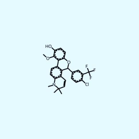 COc1c(O)ccc2c1-c1ccc3c(c1C(c1ccc(Cl)c(C(F)(F)F)c1)O2)C=CC(C)(C)N3C